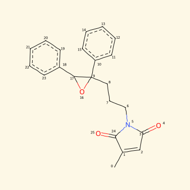 CC1=CC(=O)N(CCCC2(c3ccccc3)OC2c2ccccc2)C1=O